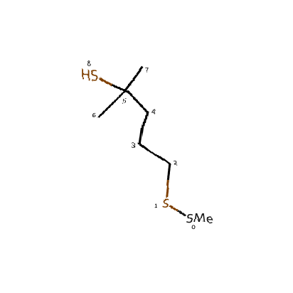 CSSCCCC(C)(C)S